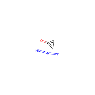 O=c1cc1.[N-]=[N+]=N